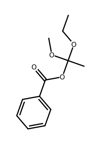 CCOC(C)(OC)OC(=O)c1ccccc1